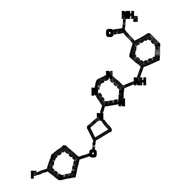 NC(=O)c1cccc(Nc2ncnc(N3CC(Oc4ccc(F)cc4)C3)n2)c1